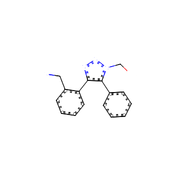 NCc1ccccc1-c1nnn(CO)c1-c1ccccc1